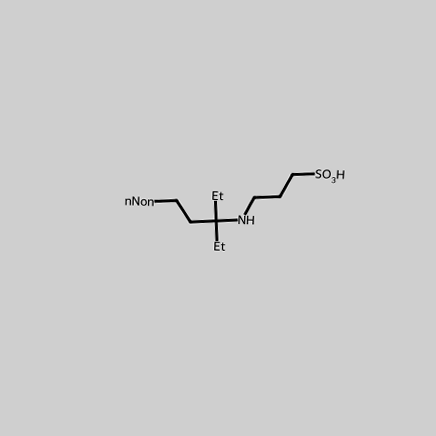 CCCCCCCCCCCC(CC)(CC)NCCCS(=O)(=O)O